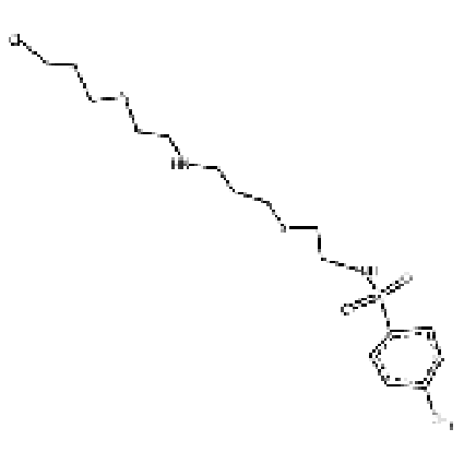 Cc1ccc(S(=O)(=O)NCCSCCCNCCSCCCCl)cc1